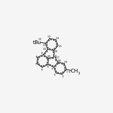 Cc1ccc2c3cccc4c5c(C(C)(C)C)cccc5n(c2c1)c34